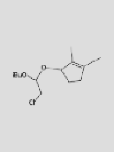 CC1=C(C)C(OC(CCl)OCC(C)C)CC1